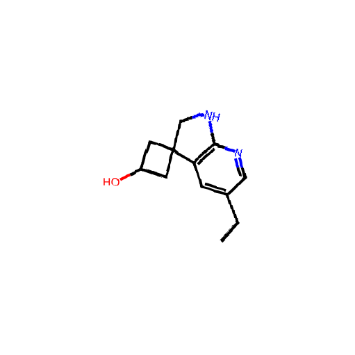 CCc1cnc2c(c1)C1(CN2)CC(O)C1